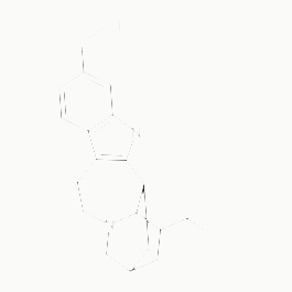 CCC1CC2CC3c4[nH]c5cc(OC)ccc5c4CCN(C2)C13